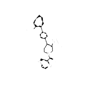 Cc1ccccc1-c1ccc(C2CCN(C(=O)c3cnccn3)CC2N)cc1